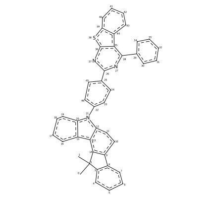 CC1(C)c2ccccc2-c2ccc3c(c21)c1ccccc1n3-c1ccc(-c2nc(-c3ccccc3)c3c(n2)sc2ccccc23)cc1